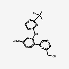 CC(=O)Nc1cc(Nc2ccnc(C(C)(F)F)n2)c(-c2cncc(CC#N)n2)cn1